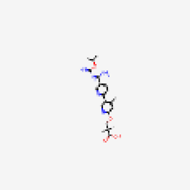 Cc1cc(OCC(C)(C)C(=O)O)ncc1-c1ccc(/C(N)=N/C(=N)OC(C)C)cn1